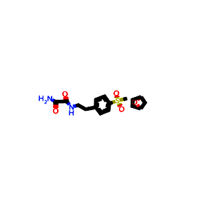 C1CC2CC1O2.CS(=O)(=O)c1ccc(CCNC(=O)C(N)=O)cc1